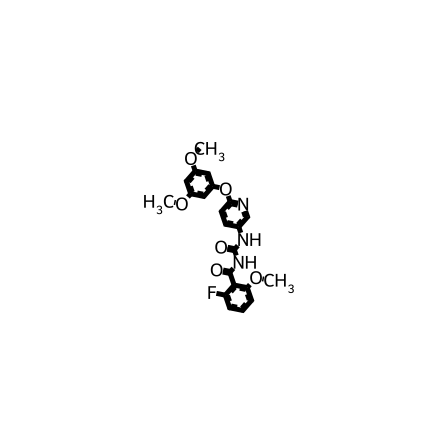 COc1cc(OC)cc(Oc2ccc(NC(=O)NC(=O)c3c(F)cccc3OC)cn2)c1